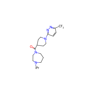 CC(C)N1CCCN(C(=O)C2CCN(c3ccc(C(F)(F)F)nn3)CC2)CC1